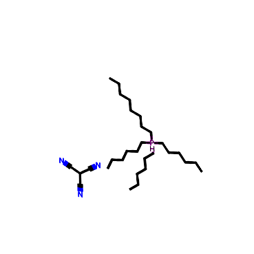 CCCCCCCC[PH](CCCCCC)(CCCCCC)CCCCCC.N#CC(C#N)C#N